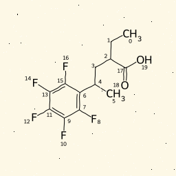 CCC(CC(C)c1c(F)c(F)c(F)c(F)c1F)C(=O)O